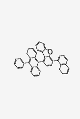 C1=Cc2cccc(-c3ccc(-c4c5c(c(-c6ccccc6)c6ccccc46)CCC=C5)c4c3oc3ccccc34)c2CC1